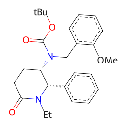 CCN1C(=O)CC[C@H](N(Cc2ccccc2OC)C(=O)OC(C)(C)C)[C@@H]1c1ccccc1